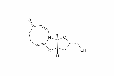 O=C1/C=C\N2/C(=C\CC1)O[C@H]1C[C@@H](CO)O[C@H]12